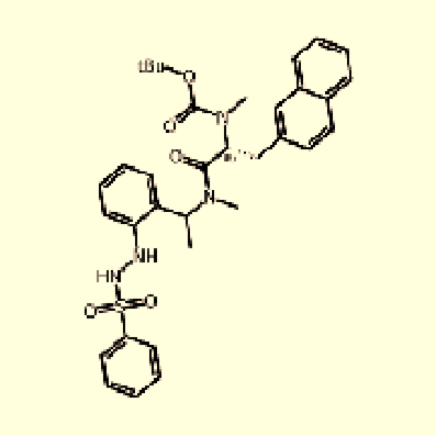 CC(c1ccccc1NNS(=O)(=O)c1ccccc1)N(C)C(=O)[C@@H](Cc1ccc2ccccc2c1)N(C)C(=O)OC(C)(C)C